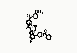 Cc1c(-c2cc3cc(F)cc(C4CCN(C(=O)C5CCCCC5)CC4)c3n2CC2CC2)nn2cc(C(=O)N3CCCC(N)C3)ccc12